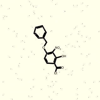 CCC(=O)c1ccc(OCc2ccccc2)c([N+](=O)[O-])c1O